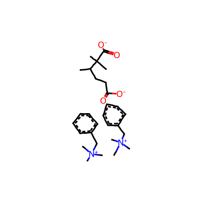 CC(CCC(=O)[O-])C(C)(C)C(=O)[O-].C[N+](C)(C)Cc1ccccc1.C[N+](C)(C)Cc1ccccc1